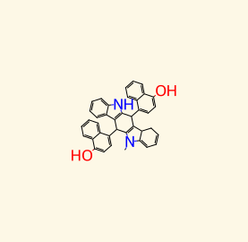 CN1C2=CC=CCC2C2=C1C(c1ccc(O)c3ccccc13)c1c([nH]c3ccccc13)C2c1ccc(O)c2ccccc12